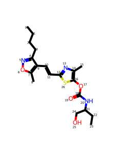 CCCCc1noc(C)c1/C=C/c1nc(C)c(OC(=O)NC(CC)CO)s1